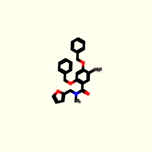 CN(Cc1ccco1)C(=O)c1cc(C(=O)O)c(OCc2ccccc2)cc1OCc1ccccc1